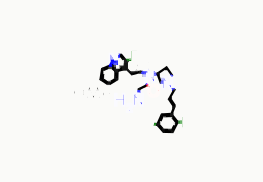 COc1ccc2ncc(F)c(CCN(C(=O)CN)C3(C(=O)O)CCN(C/C=C/c4cc(F)ccc4F)C3)c2c1